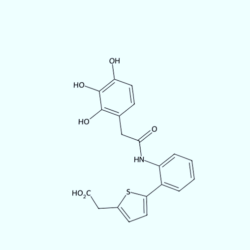 O=C(O)Cc1ccc(-c2ccccc2NC(=O)Cc2ccc(O)c(O)c2O)s1